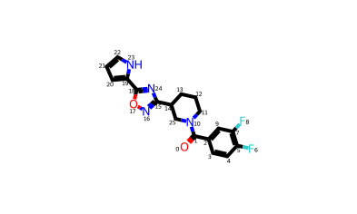 O=C(c1ccc(F)c(F)c1)N1CCCC(c2noc(-c3ccc[nH]3)n2)C1